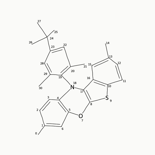 Cc1ccc2c(c1)Oc1sc3ccc(C)cc3c1N2c1c(C)cc(C(C)(C)C)cc1C